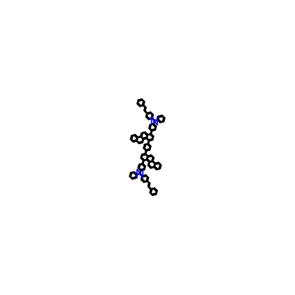 C(=Cc1ccc(N(c2ccccc2)c2ccc(-c3ccc(-c4ccc(-c5ccc(-c6ccc(N(c7ccccc7)c7ccc(C=Cc8ccccc8)cc7)cc6)c6c5ccc5c7ccccc7ccc56)cc4)c4c3ccc3c5ccccc5ccc34)cc2)cc1)c1ccccc1